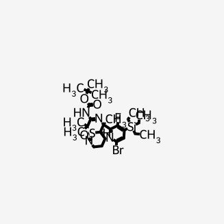 CC[Si](CC)(CC)c1cc(Br)nc([C@@]2(C)N=C(NC(=O)OC(C)(C)C)C(C)(C)[S@@]3(=O)=NCCC[C@@H]23)c1F